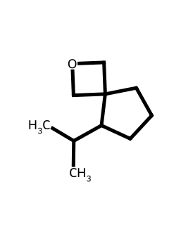 CC(C)C1CCCC12COC2